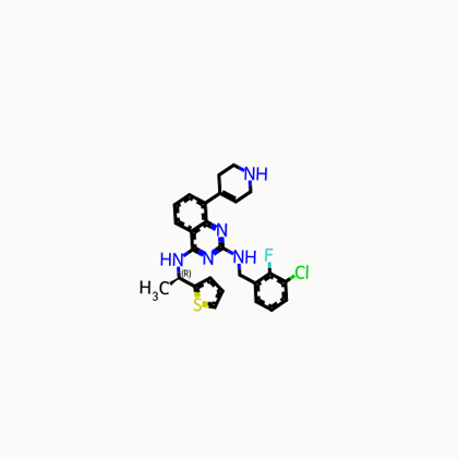 C[C@@H](Nc1nc(NCc2cccc(Cl)c2F)nc2c(C3=CCNCC3)cccc12)c1cccs1